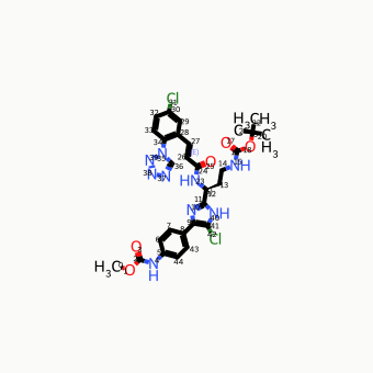 COC(=O)Nc1ccc(-c2nc([C@H](CCNC(=O)OC(C)(C)C)NC(=O)/C=C/c3cc(Cl)ccc3-n3cnnn3)[nH]c2Cl)cc1